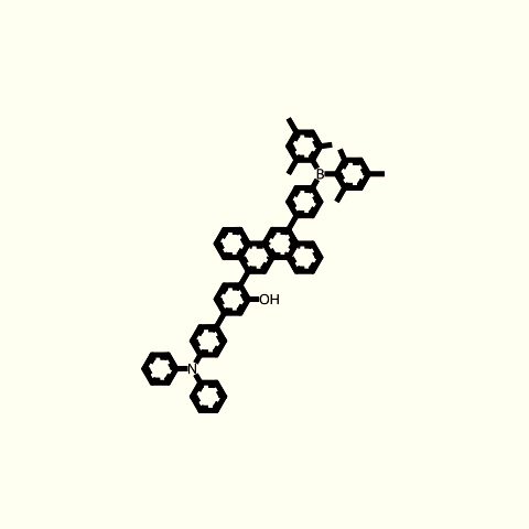 Cc1cc(C)c(B(c2ccc(-c3cc4c5ccccc5c(-c5ccc(-c6ccc(N(c7ccccc7)c7ccccc7)cc6)cc5O)cc4c4ccccc34)cc2)c2c(C)cc(C)cc2C)c(C)c1